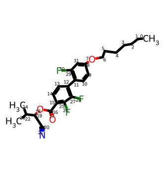 CCCCCCCOc1ccc(-c2ccc(C(=O)OC(C#N)C(C)C)c(F)c2F)c(F)c1